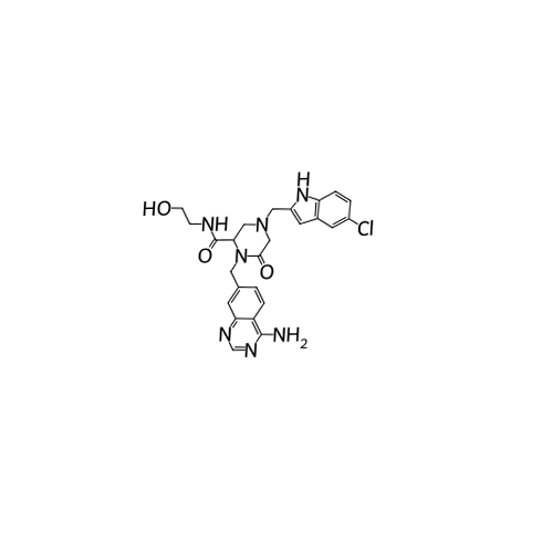 Nc1ncnc2cc(CN3C(=O)CN(Cc4cc5cc(Cl)ccc5[nH]4)CC3C(=O)NCCO)ccc12